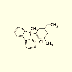 CCC1CC(C2(C)c3ccccc3-c3cccc(Cl)c32)=CC(C)C1